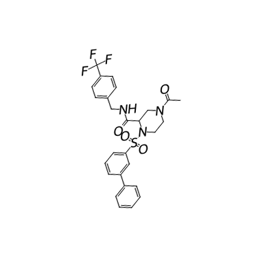 CC(=O)N1CCN(S(=O)(=O)c2cccc(-c3ccccc3)c2)C(C(=O)NCc2ccc(C(F)(F)F)cc2)C1